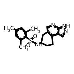 Cc1cc(C)c(S(=O)(=O)NC2CCc3c(cnc4[nH]ncc34)C2)c(C)c1